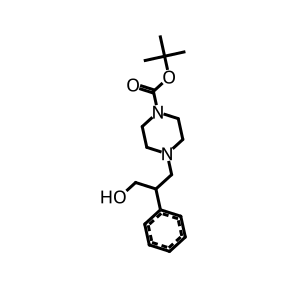 CC(C)(C)OC(=O)N1CCN(CC(CO)c2ccccc2)CC1